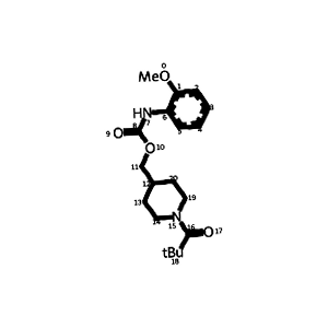 COc1ccccc1NC(=O)OCC1CCN(C(=O)C(C)(C)C)CC1